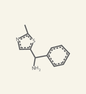 Cc1ncc(C(N)c2ccccc2)s1